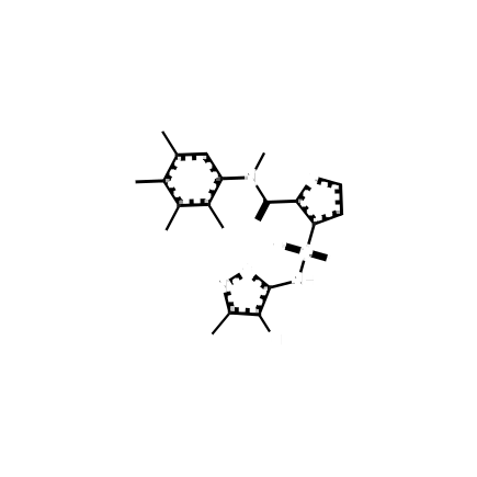 Cc1cc(N(C)C(=O)c2sccc2S(=O)(=O)Nc2onc(C)c2Cl)c(C)c(C)c1C